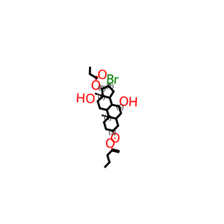 C=C(CCC)OO[C@H]1CC[C@@]2(C)C(C1)C[C@H](O)C1C2CC[C@@]2(CO)C1C[C@@H](Br)[C@@H]2OC(=O)CC